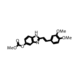 COC(=O)Oc1ccc2[nH]c(/C=C/c3ccc(OC)c(OC)c3)nc2c1